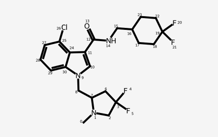 CN1CC(F)(F)CC1Cn1cc(C(=O)NCC2CCC(F)(F)CC2)c2c(Cl)cccc21